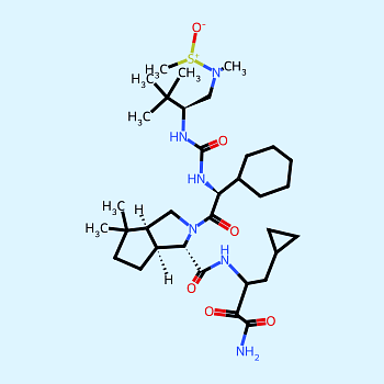 CN(C[C@@H](NC(=O)N[C@H](C(=O)N1C[C@H]2[C@H](CCC2(C)C)[C@H]1C(=O)NC(CC1CC1)C(=O)C(N)=O)C1CCCCC1)C(C)(C)C)[S+](C)[O-]